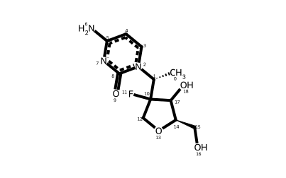 C[C@@H](n1ccc(N)nc1=O)C1(F)CO[C@H](CO)C1O